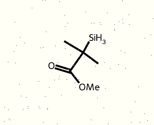 COC(=O)C(C)(C)[SiH3]